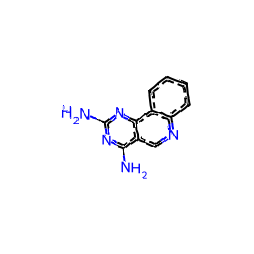 Nc1nc(N)c2cnc3ccccc3c2n1